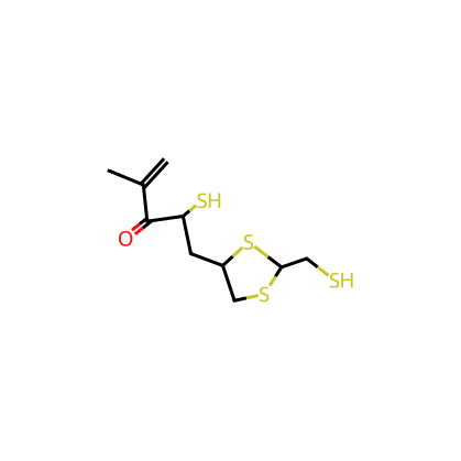 C=C(C)C(=O)C(S)CC1CSC(CS)S1